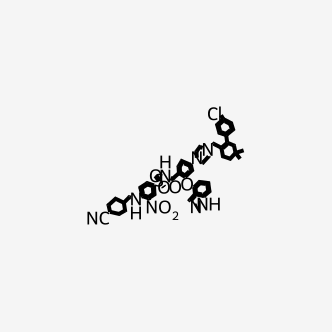 CC1(C)CCC(CN2CCN(c3ccc(C(=O)NS(=O)(=O)c4ccc(NCC5CCC(C#N)CC5)c([N+](=O)[O-])c4)c(Oc4cccc5[nH]ncc45)c3)CC2)=C(c2ccc(Cl)cc2)C1